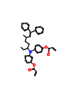 C=CC(=O)Oc1ccc(N(c2cccc(OC(=O)C=C)c2)C(CC)CCC(C)C=C(c2ccccc2)c2ccccc2)cc1